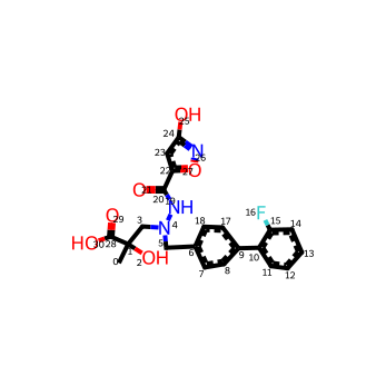 CC(O)(CN(Cc1ccc(-c2ccccc2F)cc1)NC(=O)c1cc(O)no1)C(=O)O